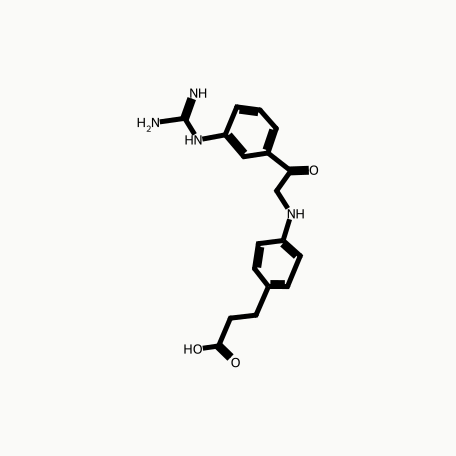 N=C(N)Nc1cccc(C(=O)CNc2ccc(CCC(=O)O)cc2)c1